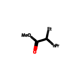 [CH2]CCC(C[CH2])C(=O)OC